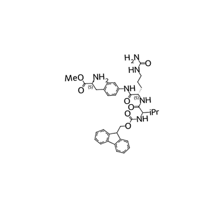 COC(=O)[C@@H](N)Cc1ccc(NC(=O)[C@H](CCCNC(N)=O)NC(=O)C(NC(=O)OCC2c3ccccc3-c3ccccc32)C(C)C)cc1